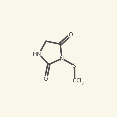 O=C1CNC(=O)N1SC(Cl)(Cl)Cl